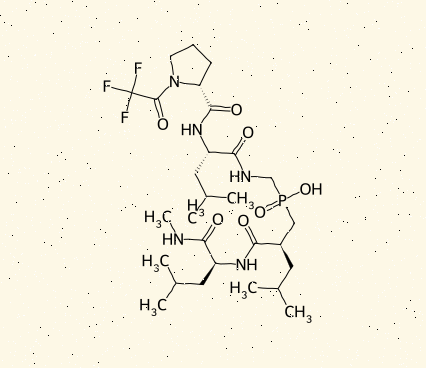 CNC(=O)[C@H](CC(C)C)NC(=O)[C@H](CC(C)C)CP(=O)(O)CNC(=O)[C@H](CC(C)C)NC(=O)[C@H]1CCCN1C(=O)C(F)(F)F